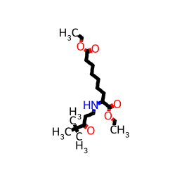 CCOC(=O)CCCCCCC(NCCC(=O)C(C)(C)C)C(=O)OCC